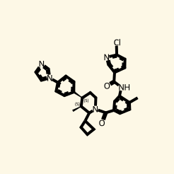 Cc1ccc(C(=O)N2CC[C@H](c3ccc(-n4ccnc4)cc3)[C@H](C)C2C2CCC2)cc1NC(=O)c1ccc(Cl)nc1